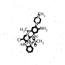 COc1cc(N2CCN(C)CC2)c(N)cc1Nc1ncc(Cl)c(Nc2ccccc2NS(C)(=O)=O)n1